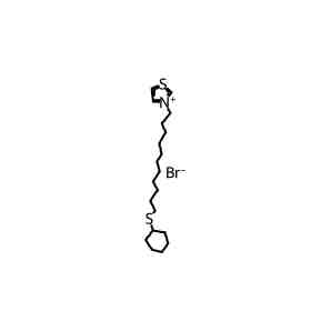 [Br-].c1c[n+](CCCCCCCCCCCSC2CCCCC2)cs1